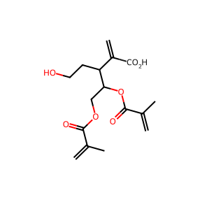 C=C(C)C(=O)OCC(OC(=O)C(=C)C)C(CCO)C(=C)C(=O)O